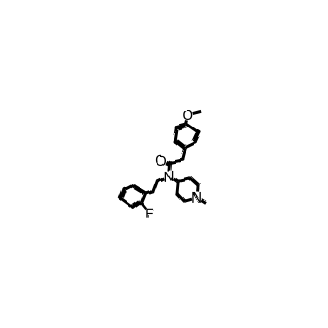 COc1ccc(CC(=O)N(CCc2ccccc2F)C2CCN(C)CC2)cc1